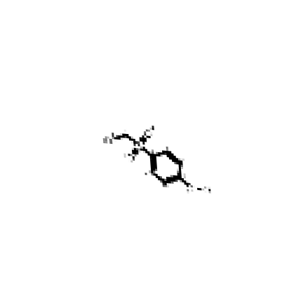 CC(C)CS(=O)(=O)c1ccc(C=O)cc1